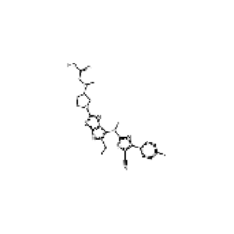 CCc1nc2sc(N3CCC(N(C)CC(=O)O)C3)nn2c1N(C)c1nc(-c2ccc(C)cc2)c(C#N)s1